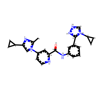 Cc1nc(C2CC2)cn1-c1ccnc(C(=O)Nc2cccc(-c3nncn3C3CC3)c2)c1